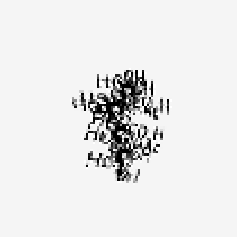 CC(=O)N[C@@H]1[C@H](O[C@H]2[C@H](O)[C@H](O)[C@H](O[C@H]3[C@H](O)[C@H](CO)OC(O)[C@H]3NC(C)=O)O[C@H]2C(=O)O)O[C@@H](CO)[C@@H](O)[C@@H]1O[C@@H]1O[C@@H](C(=O)O)[C@@H](O)[C@H](O)[C@@H]1O